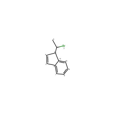 CC(Br)[C]1C=Cc2ccccc21